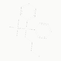 [CH3][Sn]([CH3])([CH3])[Si](CCCBr)(c1ccccc1)c1ccccc1